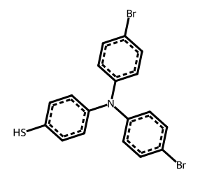 Sc1ccc(N(c2ccc(Br)cc2)c2ccc(Br)cc2)cc1